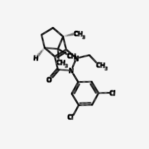 CCn1c2c(c(=O)n1-c1cc(Cl)cc(Cl)c1)[C@H]1CC[C@]2(C)C1(C)C